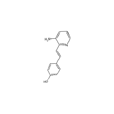 Nc1cccnc1C=Cc1ccc(O)cc1